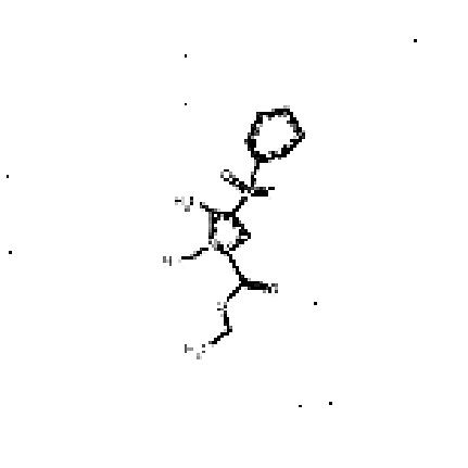 CCOC(=O)c1cc(S(=O)(=O)c2ccccc2)c(C)n1C